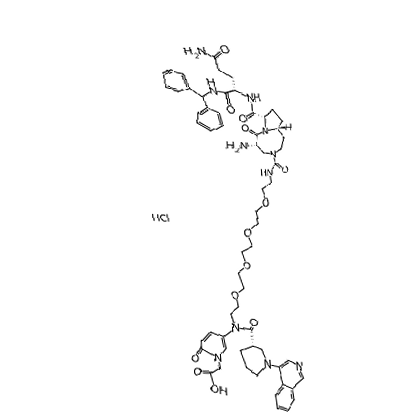 Cl.NC(=O)CC[C@H](NC(=O)[C@@H]1CC[C@@H]2CCN(C(=O)NCCOCCOCCOCCOCCN(C(=O)[C@H]3CCCN(c4cncc5ccccc45)C3)c3ccc(=O)n(CC(=O)O)c3)C[C@H](N)C(=O)N21)C(=O)NC(c1ccccc1)c1ccccc1